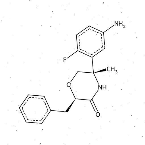 C[C@]1(c2cc(N)ccc2F)CO[C@H](Cc2ccccc2)C(=O)N1